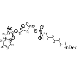 CCCCCCCCCCCCCCCCC[NH+]([O-])C(=O)OC[C@H]1CO[C@H](COC(=O)N(Cc2ccccn2)C(C)=O)C1